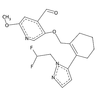 COc1cc(C=O)c(OCC2=C(c3ccnn3CC(F)F)CCCC2)cn1